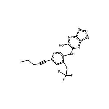 Oc1nc2nonc2nc1Nc1ccc(C#CCCI)cc1OC(F)(F)F